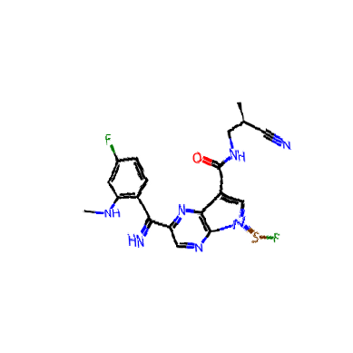 CNc1cc(F)ccc1C(=N)c1cnc2c(n1)c(C(=O)NC[C@@H](C)C#N)cn2SF